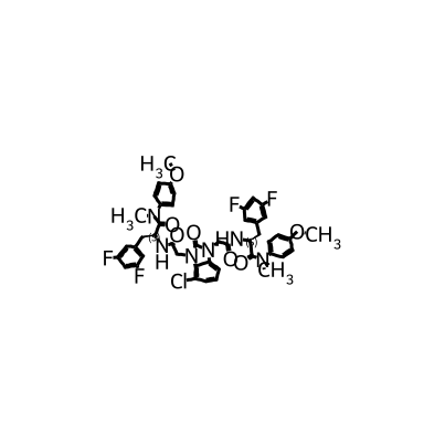 COc1ccc(N(C)C(=O)[C@H](Cc2cc(F)cc(F)c2)NC(=O)Cn2c(=O)n(CC(=O)N[C@@H](Cc3cc(F)cc(F)c3)C(=O)N(C)c3ccc(OC)cc3)c3c(Cl)cccc32)cc1